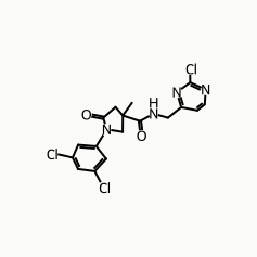 CC1(C(=O)NCc2ccnc(Cl)n2)CC(=O)N(c2cc(Cl)cc(Cl)c2)C1